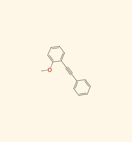 COc1ccccc1C#Cc1ccccc1